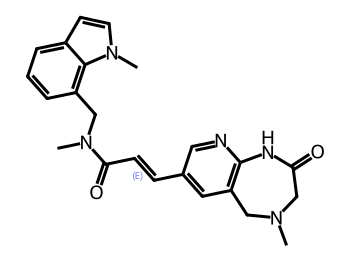 CN1CC(=O)Nc2ncc(/C=C/C(=O)N(C)Cc3cccc4ccn(C)c34)cc2C1